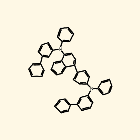 c1ccc(-c2cccc(N(c3ccccc3)c3ccc(-c4ccc(N(c5ccccc5)c5cccc(-c6ccccc6)c5)c5ccccc45)cc3)c2)cc1